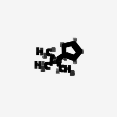 [CH3][Ge]([CH3])([CH3])[C]1=CC=CC1